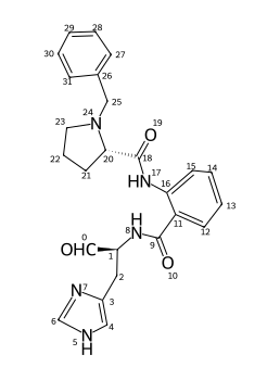 O=C[C@H](Cc1c[nH]cn1)NC(=O)c1ccccc1NC(=O)[C@@H]1CCCN1Cc1ccccc1